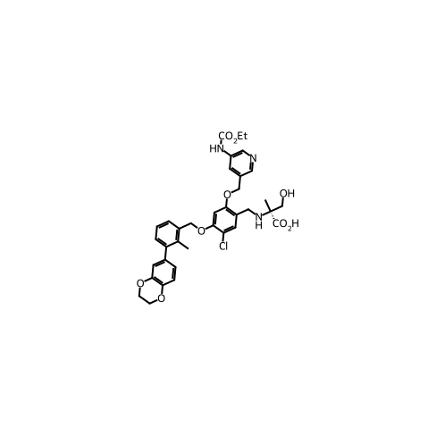 CCOC(=O)Nc1cncc(COc2cc(OCc3cccc(-c4ccc5c(c4)OCCO5)c3C)c(Cl)cc2CN[C@@](C)(CO)C(=O)O)c1